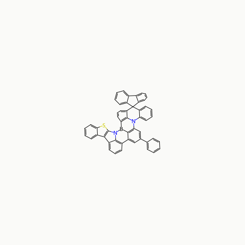 c1ccc(-c2cc3c4c(c2)N2c5ccccc5C5(c6ccccc6-c6ccccc65)c5cccc(c52)B4n2c4sc5ccccc5c4c4cccc-3c42)cc1